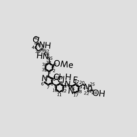 COc1cc(-c2nccc(-c3cccc(Nc4nccc(CN5CC(O)C5)c4F)c3Cl)c2Cl)ccc1CNC[C@@H]1CCC(=O)N1